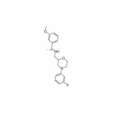 COc1cccc([C@@H](C)NCC2CN(c3cccc(F)c3)CCO2)c1